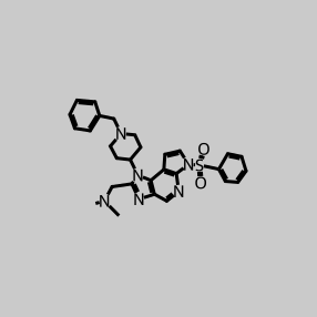 CN(C)Cc1nc2cnc3c(ccn3S(=O)(=O)c3ccccc3)c2n1C1CCN(Cc2ccccc2)CC1